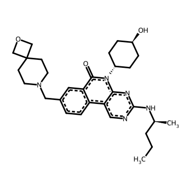 CCC[C@H](C)Nc1ncc2c3ccc(CN4CCC5(CC4)COC5)cc3c(=O)n([C@H]3CC[C@H](O)CC3)c2n1